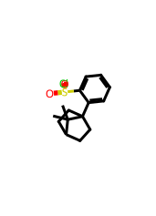 CC1(C)C2CCC1(c1ccccc1S(=O)(=O)Cl)CC2